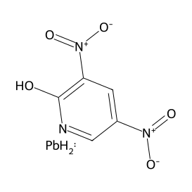 O=[N+]([O-])c1cnc(O)c([N+](=O)[O-])c1.[PbH2]